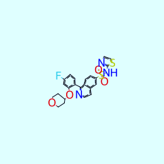 O=S(=O)(Nc1nccs1)c1ccc2c(-c3ccc(F)cc3OC3CCOCC3)nccc2c1